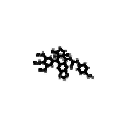 COc1cc([C@@H]2c3cc4c(cc3[C@H](OC(=O)Oc3ccc([N+](=O)[O-])cc3)[C@H]3COC(=O)[C@H]23)OCO4)cc(OC)c1OC